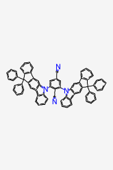 N#Cc1cc(-n2c3ccccc3c3cc4c(cc32)-c2ccccc2C4(c2ccccc2)c2ccccc2)c(C#N)c(-n2c3ccccc3c3cc4c(cc32)-c2ccccc2C4(c2ccccc2)c2ccccc2)c1